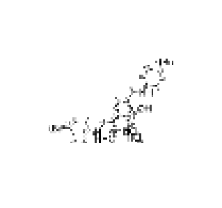 CC(C)(C)C1CCC(NCc2ccc3c(CNC4CCC(C(C)(C)C)CC4)c(O)ccc3c2O)CC1.Cl.Cl